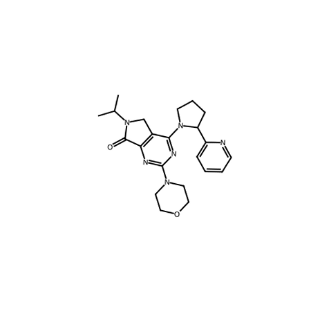 CC(C)N1Cc2c(nc(N3CCOCC3)nc2N2CCCC2c2ccccn2)C1=O